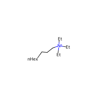 CCCCCCCCC[N+](CC)(CC)CC